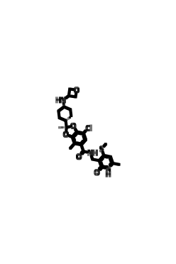 CSc1cc(C)[nH]c(=O)c1CNC(=O)c1cc(Cl)c2c(c1C)O[C@@](C)([C@H]1CC[C@H](NC3COC3)CC1)O2